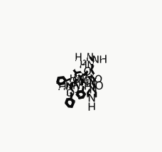 CC(C)C[C@@H](NC(=O)[C@@H](Cc1ccccc1)NC(=O)[C@@H](Cc1ccccc1)NC(=O)OCc1ccccc1)C(=O)N[C@H](CCCNC(=N)N)C(=O)NC(=O)N1CCCNCC1